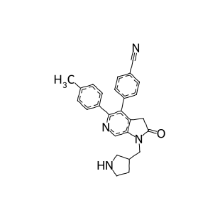 Cc1ccc(-c2ncc3c(c2-c2ccc(C#N)cc2)CC(=O)N3CC2CCNC2)cc1